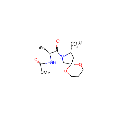 COC(=O)N[C@H](C(=O)N1CC2(C[C@H]1C(=O)O)OCCCO2)C(C)C